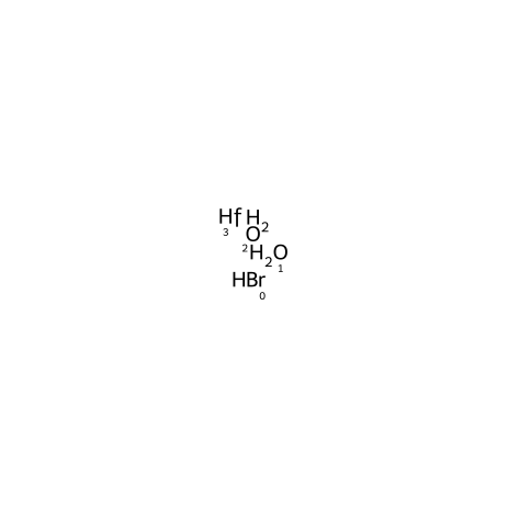 Br.O.O.[Hf]